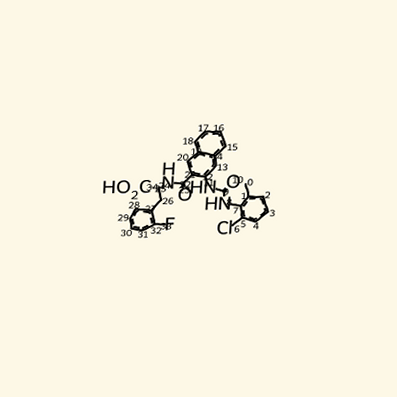 Cc1cccc(Cl)c1NC(=O)Nc1cc2ccccc2cc1C(=O)N[C@H](Cc1ccccc1F)C(=O)O